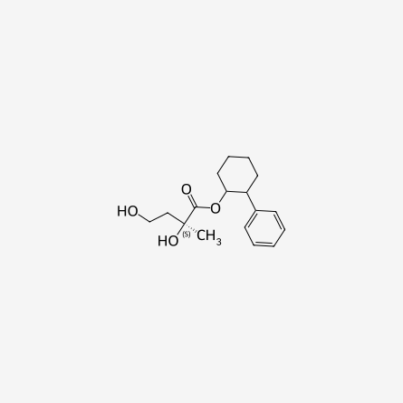 C[C@](O)(CCO)C(=O)OC1CCCCC1c1ccccc1